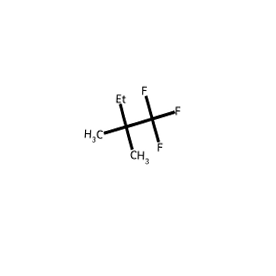 CCC(C)(C)C(F)(F)F